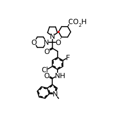 Cn1cc(C(=O)Nc2cc(F)c(CC(=O)C(O[C@H]3CC[C@H](C(=O)O)CC3)(N3CCCC3)N3CCOCC3)cc2Cl)c2ccccc21